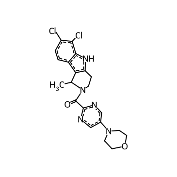 CC1c2c([nH]c3c(Cl)c(Cl)ccc23)CCN1C(=O)c1ncc(N2CCOCC2)cn1